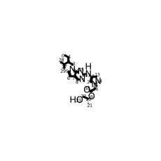 CCC(Cn1ccc2cnc(Nc3cnn(CC(=O)O[C@H](C)CO)c3)nc21)C(C)C